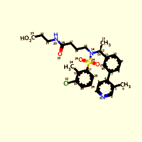 Cc1cnccc1-c1cccc([C@H](C)N(CCCC(=O)NCCC(=O)O)S(=O)(=O)c2cccc(Cl)c2C)c1